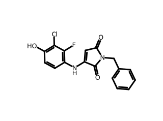 O=C1C=C(Nc2ccc(O)c(Cl)c2F)C(=O)N1Cc1ccccc1